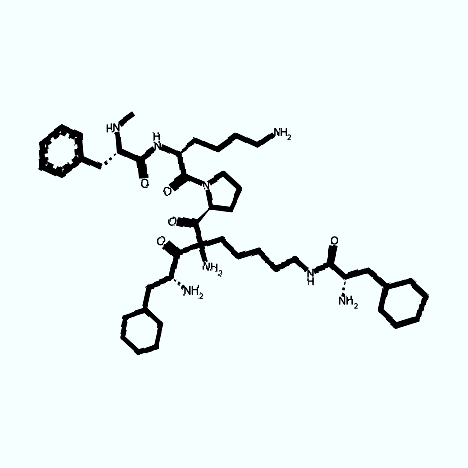 CN[C@@H](Cc1ccccc1)C(=O)N[C@@H](CCCCN)C(=O)N1CCC[C@H]1C(=O)C(N)(CCCCCNC(=O)[C@@H](N)CC1CCCCC1)C(=O)[C@H](N)CC1CCCCC1